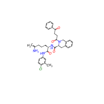 C=C(N)CCC[C@@H](NC(=O)[C@@H]1Cc2ccccc2CN1C(=O)CCC(=O)c1ccccc1)C(=O)Nc1ccc(Cl)c(C)c1